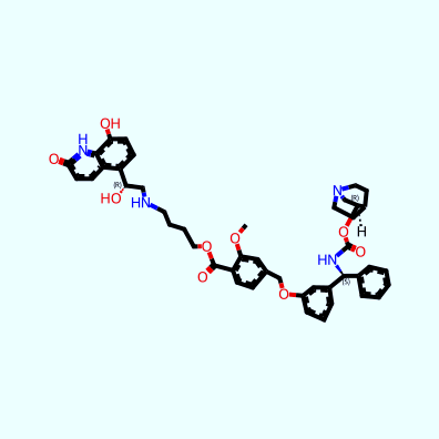 COc1cc(COc2cccc([C@@H](NC(=O)O[C@H]3CN4CCC3CC4)c3ccccc3)c2)ccc1C(=O)OCCCCNC[C@H](O)c1ccc(O)c2[nH]c(=O)ccc12